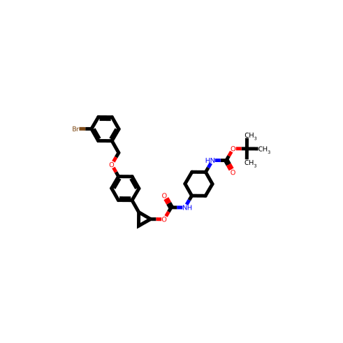 CC(C)(C)OC(=O)NC1CCC(NC(=O)OC2CC2c2ccc(OCc3cccc(Br)c3)cc2)CC1